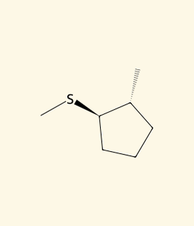 CS[C@@H]1CCC[C@H]1C